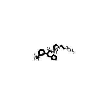 COCCn1ccc(NC(=O)C(CC2CCCC2)c2cccc(C(F)(F)F)c2)n1